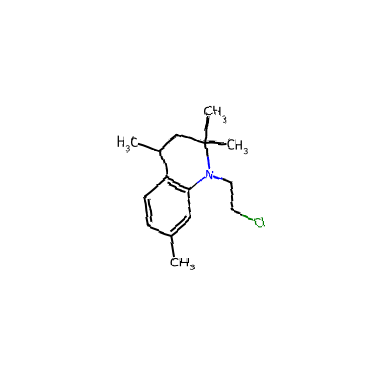 Cc1ccc2c(c1)N(CCCl)C(C)(C)CC2C